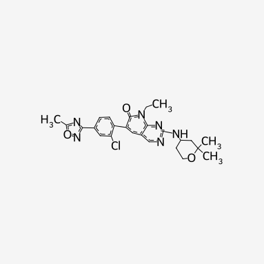 CCn1c(=O)c(-c2ccc(-c3noc(C)n3)cc2Cl)cc2cnc(NC3CCOC(C)(C)C3)nc21